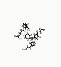 CCCCc1csc(B(c2cc(CCCC)cs2)C2CCCCC2)c1.Cc1cncn1CCCOC(C)C